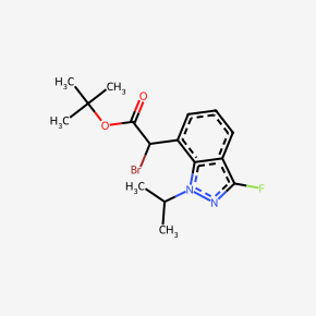 CC(C)n1nc(F)c2cccc(C(Br)C(=O)OC(C)(C)C)c21